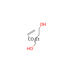 C=CC(=O)OCC.OCCCCO